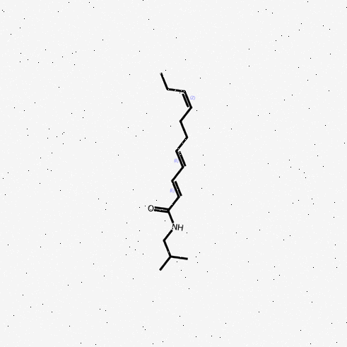 CC/C=C\CC/C=C/C=C/C(=O)NCC(C)C